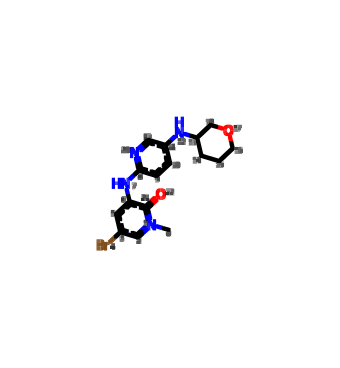 Cn1cc(Br)cc(Nc2ccc(NC3CCCOC3)cn2)c1=O